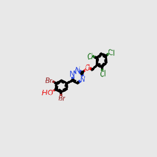 Oc1c(Br)cc(-c2cnc(OCc3c(Cl)cc(Cl)cc3Cl)nn2)cc1Br